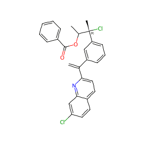 C=C(c1cccc([C@@](C)(Cl)C(C)OC(=O)c2ccccc2)c1)c1ccc2ccc(Cl)cc2n1